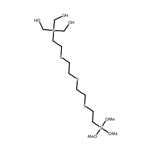 CO[Si](CCSCCSCCSCC[Si](CO)(CO)CO)(OC)OC